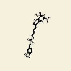 CN(C)c1nc(N)c2c(n1)C(CCCCOC(=O)NCc1ccc3c(c1)OCO3)C=N2